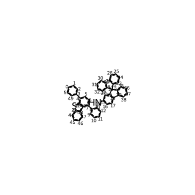 c1ccc(-c2ccc(-c3ccccc3Nc3ccc4c(c3)C(c3ccccc3)(c3ccccc3)c3ccccc3-4)c3c2sc2ccccc23)cc1